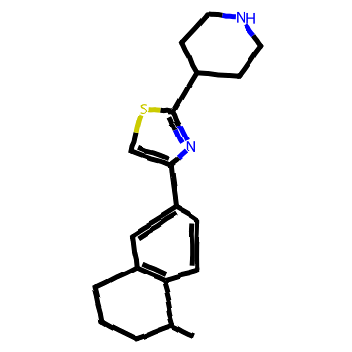 CC1CCCc2cc(-c3csc(C4CCNCC4)n3)ccc21